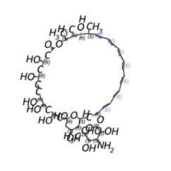 C[C@@H]1[C@H](O)[C@@H](C)/C=C/C=C/C=C/C=C/C=C/C=C/C=C/[C@H](O[C@H]2O[C@@H](C)[C@@H](O)[C@H](N)[C@@H]2O)C[C@@H]2O[C@](O)(C[C@@H](O)C[C@@H](O)[C@H](O)CC[C@@H](O)C[C@@H](O)CC(=O)O[C@H]1C)C[C@H](O)[C@H]2C=O